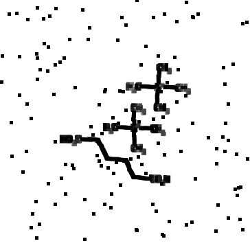 C[N+](C)(C)C.C[N+](C)(C)C.O=C(O)CCCCC(=O)O